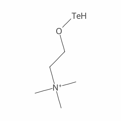 C[N+](C)(C)CCO[TeH]